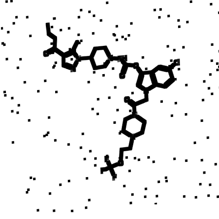 CCCC(=O)c1cnn(C2CCN(NC(=O)Oc3cn(CC(=O)N4CCN(CCOC(F)(F)F)CC4)c4ccc(Cl)cc34)CC2)c1C